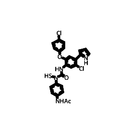 CC(=O)Nc1ccc(N(S)C(=O)Nc2cc(Cl)c(-c3ccc[nH]3)cc2Oc2ccc(Cl)cc2)cc1